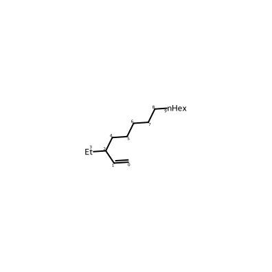 C=CC(CC)CCCCCCCCCCC